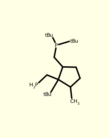 CC1CCC(CP(C(C)(C)C)C(C)(C)C)C1(CP)C(C)(C)C